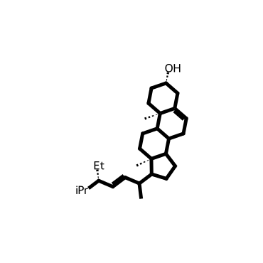 CC[C@H](/C=C/C(C)C1CCC2C3CC=C4C[C@@H](O)CC[C@]4(C)C3CC[C@]12C)C(C)C